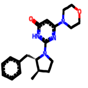 C[C@@H]1CCN(c2nc(N3CCOCC3)cc(=O)[nH]2)[C@H]1Cc1ccccc1